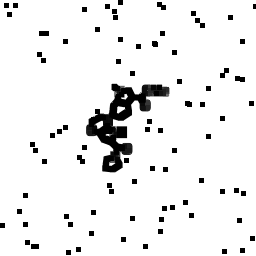 COC(=O)C1CN(C)c2cc(N3CCOc4cc(C(=O)N5CCCC5)[nH]c43)ccc21